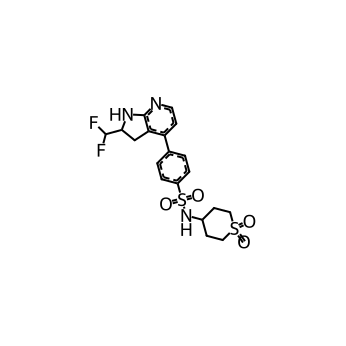 O=S1(=O)CCC(NS(=O)(=O)c2ccc(-c3ccnc4c3CC(C(F)F)N4)cc2)CC1